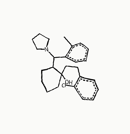 Cc1ccccc1C(C1CCCCC1(O)CCc1ccccc1Cl)N1CCCC1